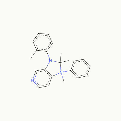 Cc1ccccc1N1c2cnccc2[N+](C)(c2ccccc2)C1(C)C